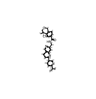 C[C@@]1(C#N)COCc2ccc(C(=O)NCc3cc4nc(-c5ccc(C(F)F)nc5)ccc4cn3)cc21